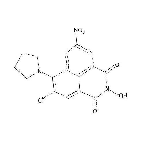 O=C1c2cc([N+](=O)[O-])cc3c(N4CCCC4)c(Cl)cc(c23)C(=O)N1O